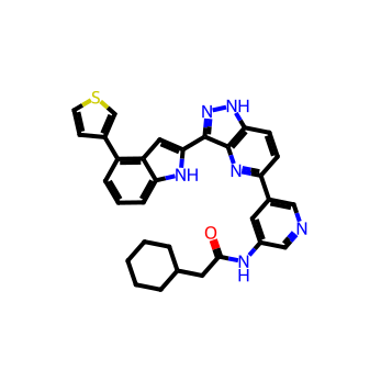 O=C(CC1CCCCC1)Nc1cncc(-c2ccc3[nH]nc(-c4cc5c(-c6ccsc6)cccc5[nH]4)c3n2)c1